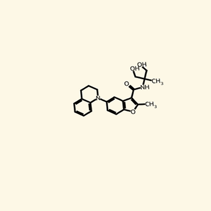 Cc1oc2ccc(N3CCCc4ccccc43)cc2c1C(=O)NC(C)(CO)CO